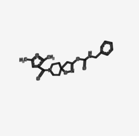 Cc1cc(C(=O)N2CCC3(CC2)CC(OC(=O)NCc2ccccc2)=NO3)c(C)o1